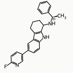 C[C@@H](NC1CCCc2c1[nH]c1ccc(-c3ccc(F)nc3)cc21)c1ccccc1